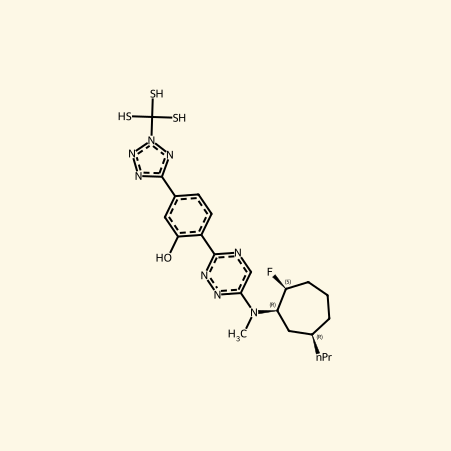 CCC[C@@H]1CCC[C@H](F)[C@H](N(C)c2cnc(-c3ccc(-c4nnn(C(S)(S)S)n4)cc3O)nn2)C1